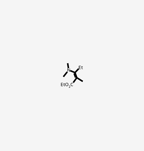 CCOC(=O)C(C)=C(CC)N(C)C